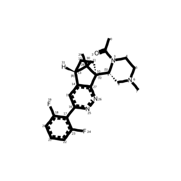 CC(=O)N1CCN(C)C[C@@H]1[C@@]12CC[C@@H](c3cc(-c4c(F)cccc4F)nnc31)C2(C)C